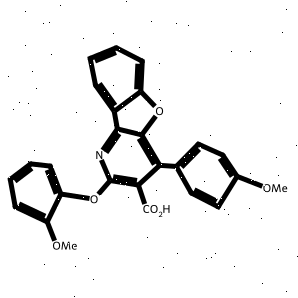 COc1ccc(-c2c(C(=O)O)c(Oc3ccccc3OC)nc3c2oc2ccccc23)cc1